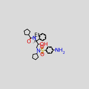 CCN(C(=O)C1CCCC1)[C@@](C)(c1ccccc1)C(O)CN(C1CCCC1)S(=O)(=O)c1ccc(N)cc1